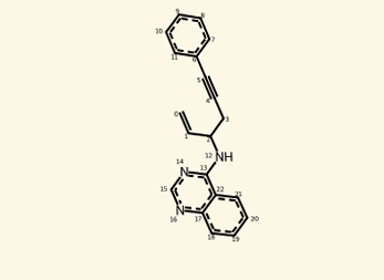 C=CC(CC#Cc1ccccc1)Nc1ncnc2ccccc12